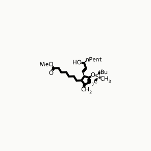 C=C1CC(O[Si](C)(C)C(C)(C)C)[C@H](/C=C/[C@@H](O)CCCCC)C1CCCCCCC(=O)OC